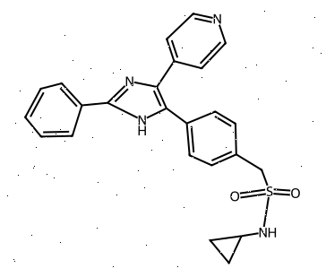 O=S(=O)(Cc1ccc(-c2[nH]c(-c3ccccc3)nc2-c2ccncc2)cc1)NC1CC1